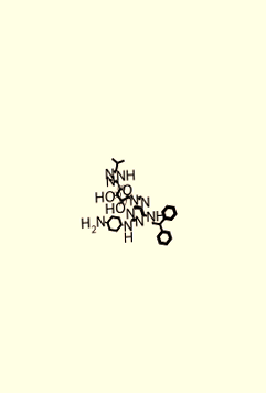 CC(C)c1nnc([C@H]2O[C@@H](n3cnc4c(NCC(c5ccccc5)c5ccccc5)nc(N[C@H]5CC[C@H](N)CC5)nc43)[C@H](O)[C@@H]2O)[nH]1